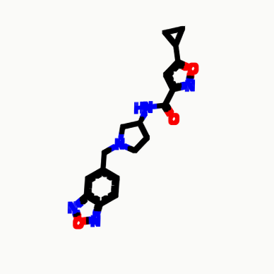 O=C(N[C@H]1CCN(Cc2ccc3nonc3c2)C1)c1cc(C2CC2)on1